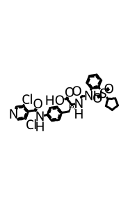 O=C(Nc1ccccc1S(=O)(=O)C1CCCC1)N[C@@H](Cc1ccc(NC(=O)c2c(Cl)cncc2Cl)cc1)C(=O)O